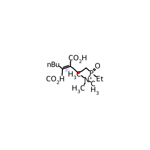 CCCC/C(C(=O)O)=C(/CCP(=O)(CC)[N+](C)(C)C)C(=O)O